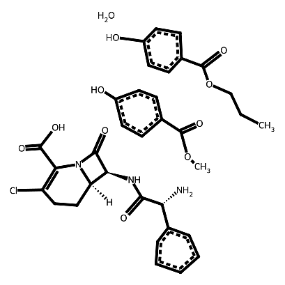 CCCOC(=O)c1ccc(O)cc1.COC(=O)c1ccc(O)cc1.N[C@@H](C(=O)N[C@@H]1C(=O)N2C(C(=O)O)=C(Cl)CC[C@H]12)c1ccccc1.O